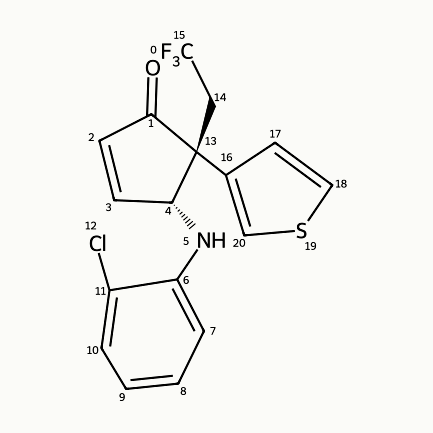 O=C1C=C[C@@H](Nc2ccccc2Cl)[C@@]1(CC(F)(F)F)c1ccsc1